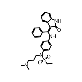 CCS(=O)(=O)N(CCCN(C)C)c1ccc(N/C(=C2\C(=O)Nc3ccccc32)c2ccccc2)cc1